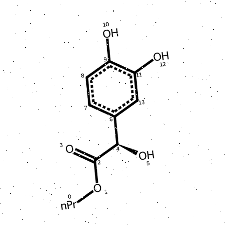 CCCOC(=O)[C@H](O)c1ccc(O)c(O)c1